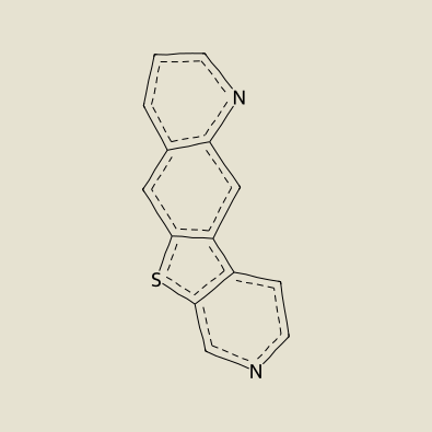 c1cnc2cc3c(cc2c1)sc1cnccc13